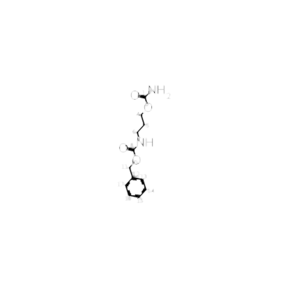 NC(=O)OCCCNC(=O)OCc1ccccc1